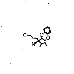 CCC(C)C(C#N)(CCCCl)C1COc2ccccc2O1